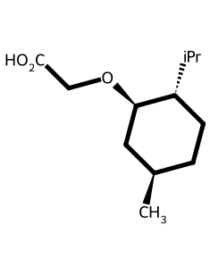 CC(C)[C@@H]1CC[C@@H](C)C[C@H]1OCC(=O)O